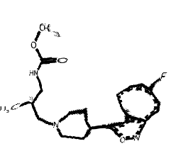 COC(=O)NC[C@H](C)CN1CCC(c2onc3cc(F)ccc23)CC1